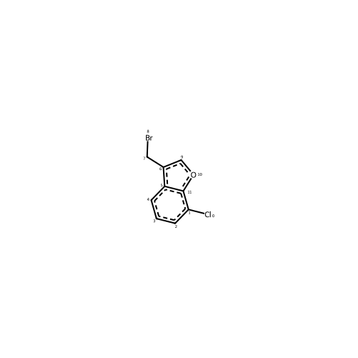 Clc1cccc2c(CBr)coc12